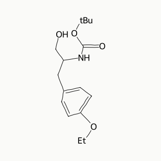 CCOc1ccc(CC(CO)NC(=O)OC(C)(C)C)cc1